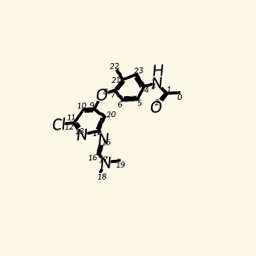 CC(=O)Nc1ccc(Oc2cc(Cl)nc(N=CN(C)C)c2)c(C)c1